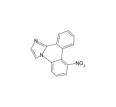 O=[N+]([O-])c1cccc2c1c1ccccc1c1nccn21